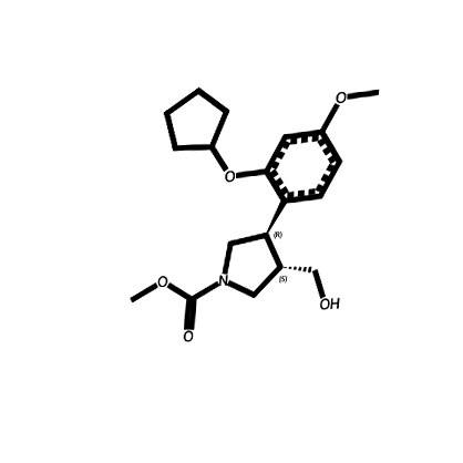 COC(=O)N1C[C@@H](CO)[C@H](c2ccc(OC)cc2OC2CCCC2)C1